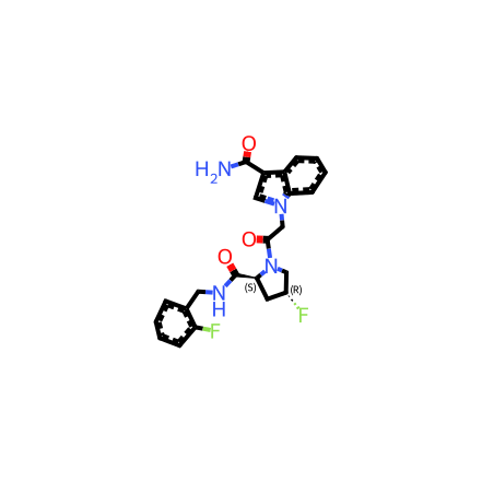 NC(=O)c1cn(CC(=O)N2C[C@H](F)C[C@H]2C(=O)NCc2ccccc2F)c2ccccc12